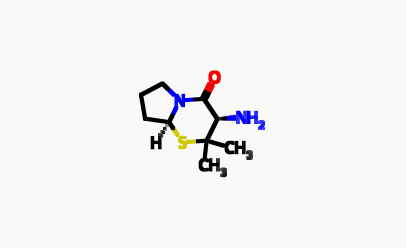 CC1(C)S[C@H]2CCCN2C(=O)[C@H]1N